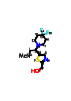 CNCC(c1cnc(CO)s1)N1CCC(F)(F)CC1